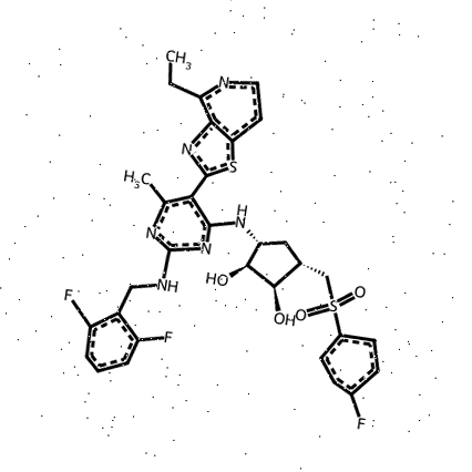 CCc1nccc2sc(-c3c(C)nc(NCc4c(F)cccc4F)nc3N[C@@H]3C[C@H](CS(=O)(=O)c4ccc(F)cc4)[C@@H](O)[C@H]3O)nc12